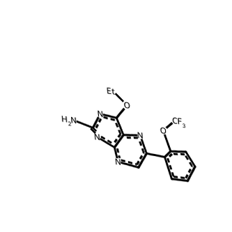 CCOc1nc(N)nc2ncc(-c3ccccc3OC(F)(F)F)nc12